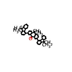 CC1(C)c2ccc(-c3cccc4c3-c3ccccc3C4(C)C)cc2C(=O)c2cc(-c3cccc4c3C3C=CC=CC3C4(C)C)ccc21